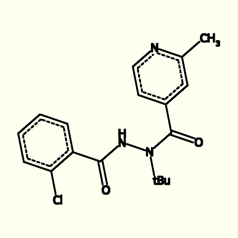 Cc1cc(C(=O)N(NC(=O)c2ccccc2Cl)C(C)(C)C)ccn1